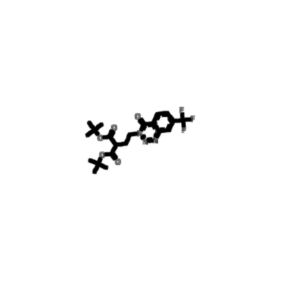 CC(C)(C)OC(=O)C(CCn1nnc2cc(C(F)(F)F)ccc2c1=O)C(=O)OC(C)(C)C